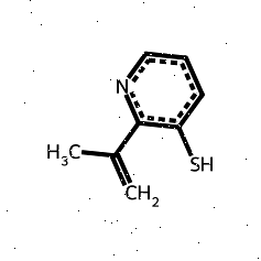 C=C(C)c1ncccc1S